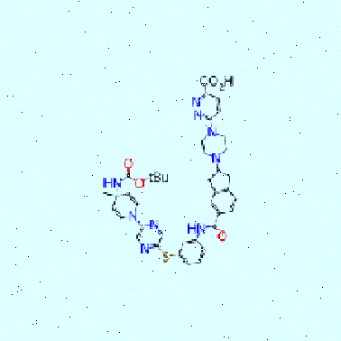 CC1(NC(=O)OC(C)(C)C)C=CN(c2cnc(Sc3cccc(NC(=O)c4ccc5c(c4)CC(N4CCN(c6ccc(C(=O)O)nn6)CC4)C5)c3)cn2)C=C1